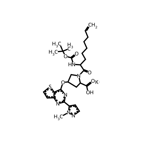 C=CCCCCCC(NC(=O)OC(C)(C)C)C(=O)N1CC(Oc2nc(-c3ccnn3C)nc3ccsc23)CC1C(=O)O.[K]